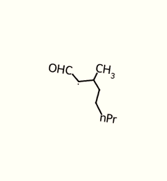 CCCCCC(C)[CH]C=O